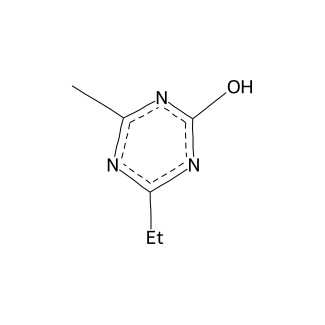 CCc1nc(C)nc(O)n1